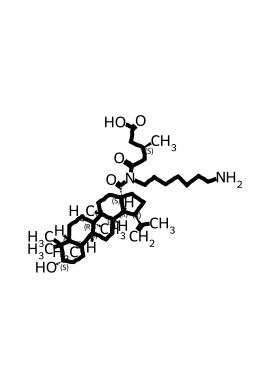 C=C(C)[C@@H]1CC[C@]2(C(=O)N(CCCCCCCN)C(=O)C[C@H](C)CC(=O)O)CC[C@]3(C)[C@H](CC[C@@H]4[C@@]5(C)CC[C@H](O)C(C)(C)[C@@H]5CC[C@]43C)[C@@H]12